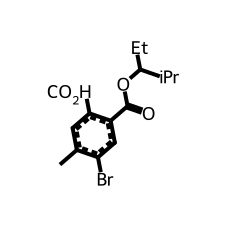 CCC(OC(=O)c1cc(Br)c(C)cc1C(=O)O)C(C)C